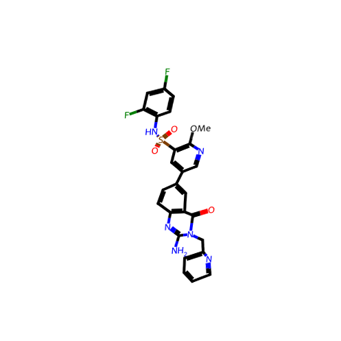 COc1ncc(-c2ccc3nc(N)n(Cc4ccccn4)c(=O)c3c2)cc1S(=O)(=O)Nc1ccc(F)cc1F